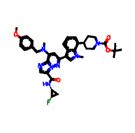 COc1ccc(CN(C)c2cc(-c3cn(C)c4c(C5CCN(C(=O)OC(C)(C)C)CC5)cccc34)nn3c(C(=O)N[C@@H]4C[C@@H]4F)cnc23)cc1